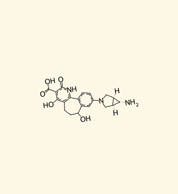 N[C@@H]1[C@H]2CN(c3ccc4c(c3)C(O)CCc3c-4[nH]c(=O)c(C(=O)O)c3O)C[C@@H]12